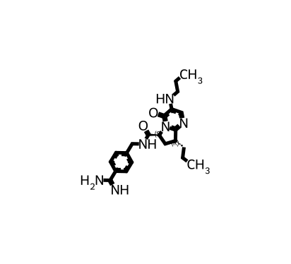 CCCNc1cnc2n(c1=O)[C@H](C(=O)NCc1ccc(C(=N)N)cc1)C[C@H]2CCC